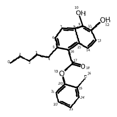 CCCCCc1ccc2c(O)c(O)ccc2c1C(=O)Oc1ccccc1F